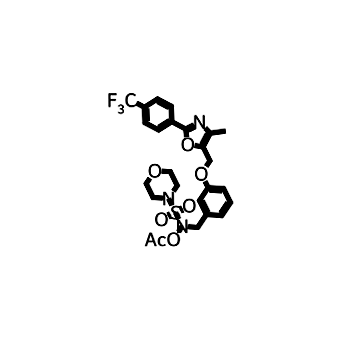 CC(=O)ON(Cc1cccc(OCc2oc(-c3ccc(C(F)(F)F)cc3)nc2C)c1)S(=O)(=O)N1CCOCC1